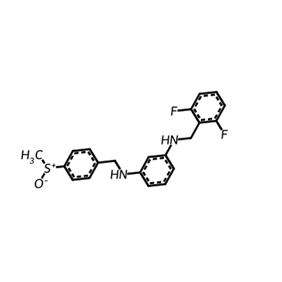 C[S+]([O-])c1ccc(CNc2cccc(NCc3c(F)cccc3F)c2)cc1